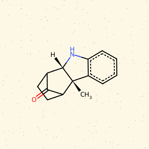 C[C@]12c3ccccc3N[C@H]1C1CCC2C1=O